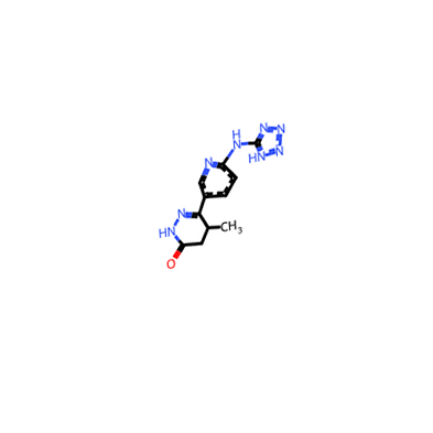 CC1CC(=O)NN=C1c1ccc(Nc2nnn[nH]2)nc1